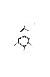 C=C(C)C(=O)O.CC(=O)Oc1c(C)cccc1Br